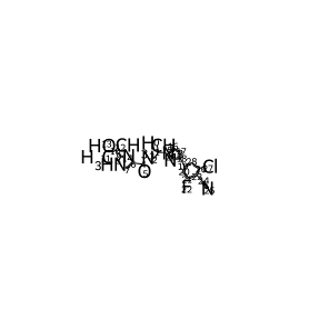 CC(CNC(=O)c1c[nH]c(C(C)(C)O)n1)n1ccc(-c2cc(F)c(C#N)c(Cl)c2)n1